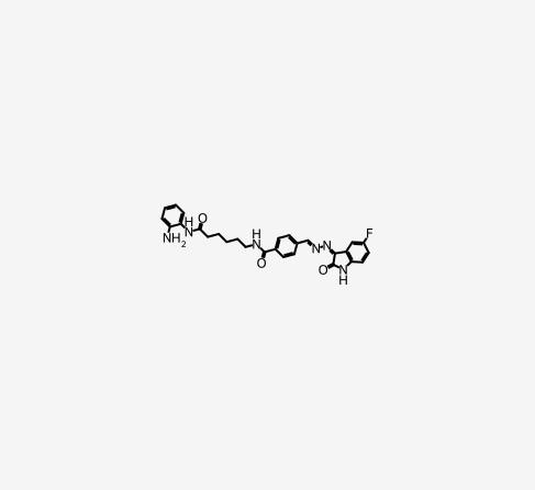 Nc1ccccc1NC(=O)CCCCCNC(=O)c1ccc(C=NN=C2C(=O)Nc3ccc(F)cc32)cc1